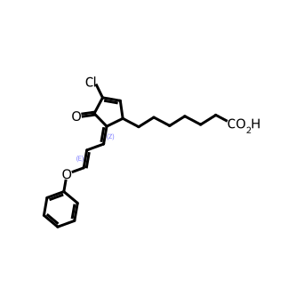 O=C(O)CCCCCCC1C=C(Cl)C(=O)/C1=C\C=C\Oc1ccccc1